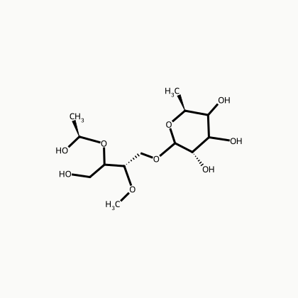 CO[C@@H](COC1O[C@@H](C)C(O)C(O)[C@@H]1O)C(CO)O[C@H](C)O